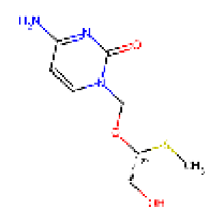 CS[C@H](CO)OCn1ccc(N)nc1=O